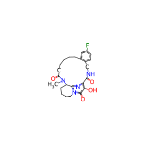 CN1C(=O)CCCCCc2cc(F)ccc2CNC(=O)c2nc3n(c(=O)c2O)CCCCC31